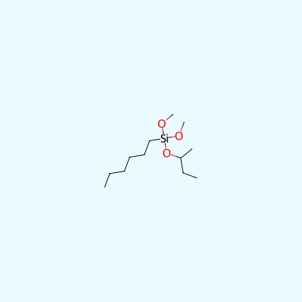 CCCCCC[Si](OC)(OC)OC(C)CC